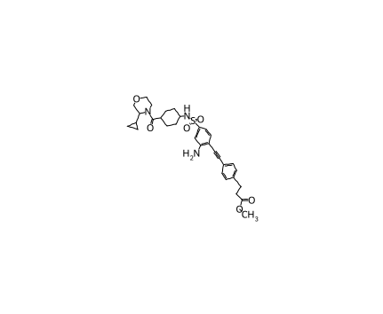 COC(=O)CCc1ccc(C#Cc2ccc(S(=O)(=O)NC3CCC(C(=O)N4CCOCC4C4CC4)CC3)cc2N)cc1